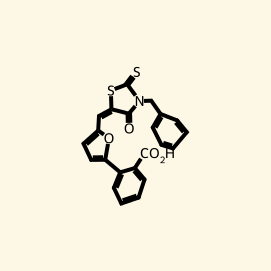 O=C(O)c1ccccc1-c1ccc(C=C2SC(=S)N(Cc3ccccc3)C2=O)o1